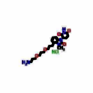 Cl.Cn1c(=O)n(C2CCC(=O)NC2=O)c2cccc(CCCOCCCOCCCN)c21